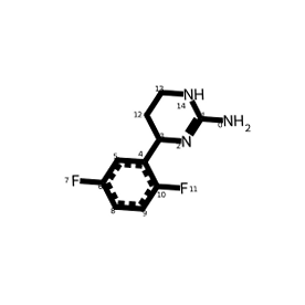 NC1=NC(c2cc(F)ccc2F)CCN1